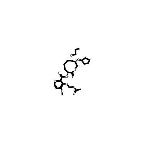 CCCO[C@H]1CCC[C@H](NC(=O)c2nccc(OC)c2OCOC(C)=O)C(=O)O[C@@H](C)[C@@H]1OC1CCCC1